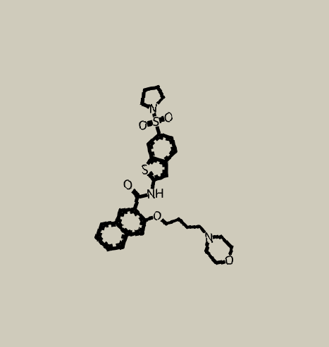 O=C(Nc1cc2ccc(S(=O)(=O)N3CCCC3)cc2s1)c1cc2ccccc2cc1OCCCCN1CCOCC1